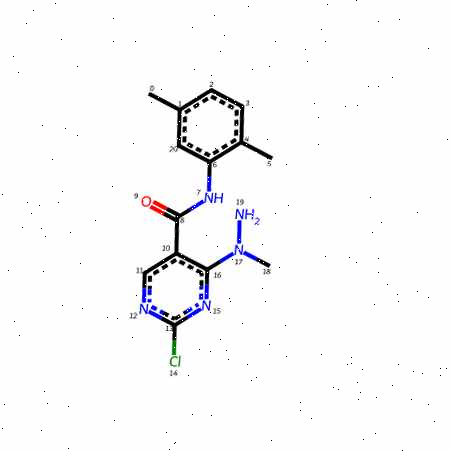 Cc1ccc(C)c(NC(=O)c2cnc(Cl)nc2N(C)N)c1